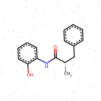 [CH2][C@@H](Cc1ccccc1)C(=O)Nc1ccccc1O